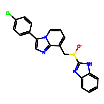 [O-][S+](Cc1cccn2c(-c3ccc(Cl)cc3)cnc12)c1nc2ccccc2[nH]1